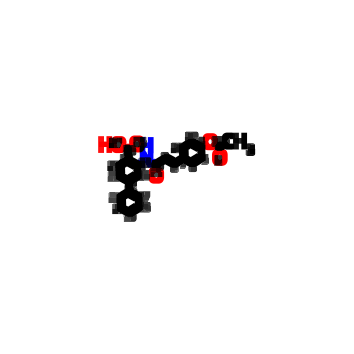 CC(=O)Oc1ccc(C=CC(=O)Nc2cc(-c3ccccc3)ccc2C(=O)O)cc1